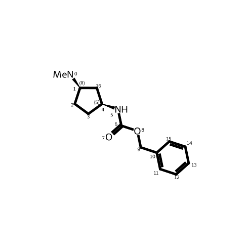 CN[C@@H]1CC[C@H](NC(=O)OCc2ccccc2)C1